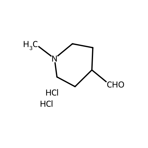 CN1CCC(C=O)CC1.Cl.Cl